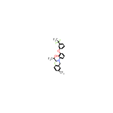 OC(CN(Cc1cc(C(F)(F)F)ccc1F)c1cccc(Oc2cccc(C(F)(F)C(F)(F)F)c2)c1)C(F)(F)F